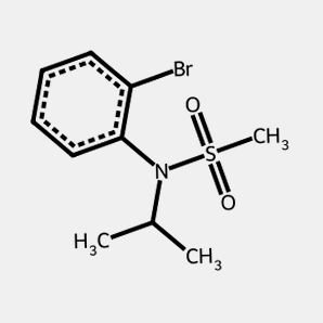 CC(C)N(c1ccccc1Br)S(C)(=O)=O